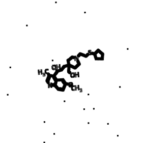 COc1ccc2ncc(C)c([C@@H](O)CCC3(CO)CCN(CCSC4CCCC4)CC3)c2c1